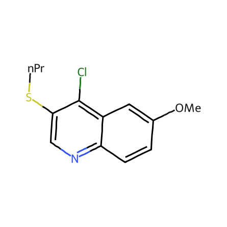 CCCSc1cnc2ccc(OC)cc2c1Cl